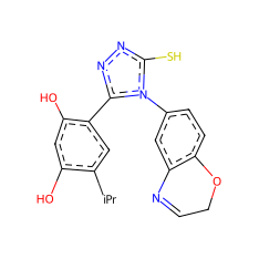 CC(C)c1cc(-c2nnc(S)n2-c2ccc3c(c2)N=CCO3)c(O)cc1O